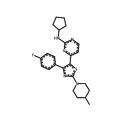 CC1CCN(c2nc(-c3ccc(F)cc3)c(-c3ccnc(NC4CCCC4)n3)s2)CC1